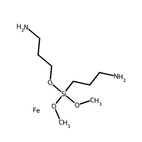 CO[Si](CCCN)(OC)OCCCN.[Fe]